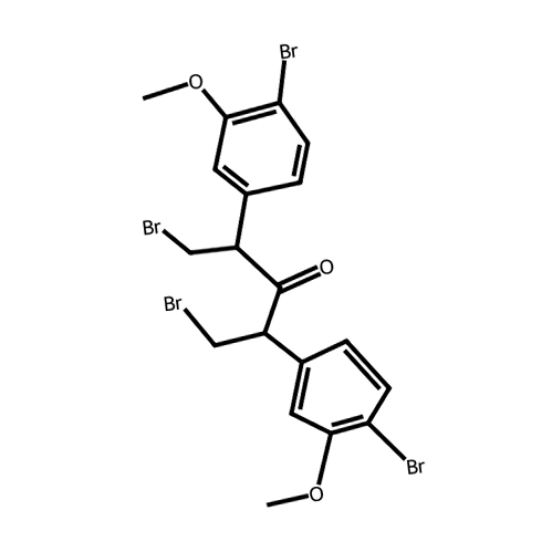 COc1cc(C(CBr)C(=O)C(CBr)c2ccc(Br)c(OC)c2)ccc1Br